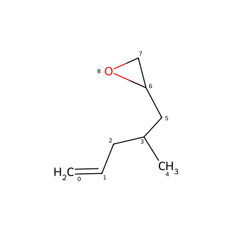 C=CCC(C)CC1CO1